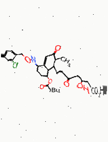 CCC(C)C(=O)OC1CCC(=NOCc2ccccc2Cl)C2=CC(=O)C(C)C(CCC(=O)CC(O)CC(=O)O)C21